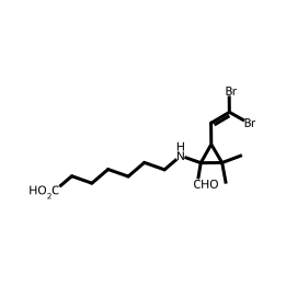 CC1(C)C(C=C(Br)Br)C1(C=O)NCCCCCCC(=O)O